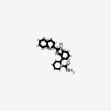 NC(=O)N1CCCCC1c1cccc2[nH]c(-c3ccc4ccccc4n3)nc12